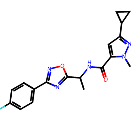 CC(NC(=O)c1cc(C2CC2)nn1C)c1nc(-c2ccc(F)cc2)no1